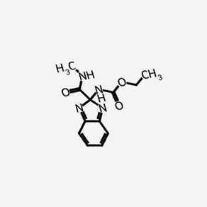 CCOC(=O)NC1(C(=O)NC)N=c2ccccc2=N1